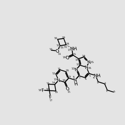 CCCCNc1cc(Nc2cccn(C3CC(F)(F)C3)c2=O)nc2c(C(=O)N[C@H]3CC[C@@H]3OC)cnn12